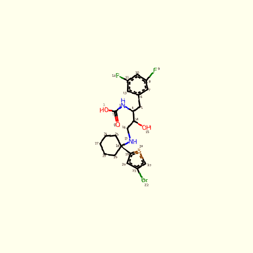 O=C(O)NC(Cc1cc(F)cc(F)c1)C(O)CNC1(c2cc(Br)cs2)CCCCC1